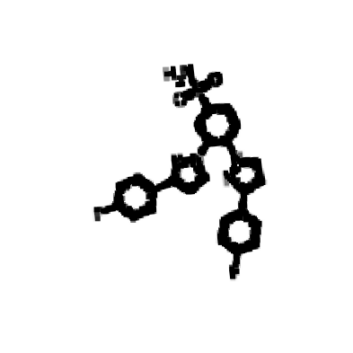 NS(=O)(=O)c1ccc(-n2ccc(-c3ccc(F)cc3)n2)c(-n2ccc(-c3ccc(F)cc3)n2)c1